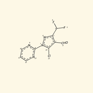 O=Cc1c(C(F)F)nn(-c2ncccn2)c1Cl